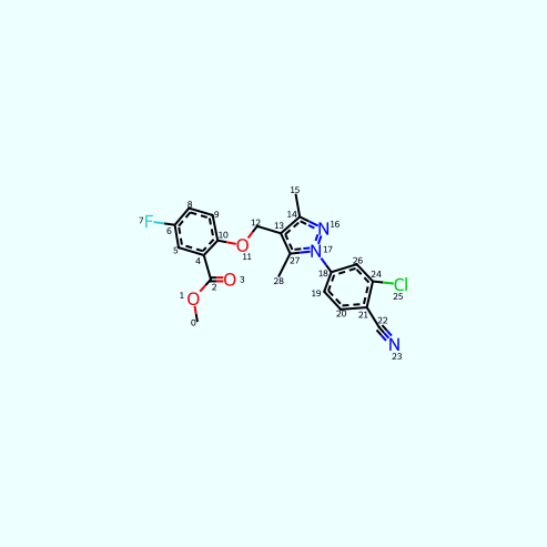 COC(=O)c1cc(F)ccc1OCc1c(C)nn(-c2ccc(C#N)c(Cl)c2)c1C